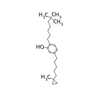 CC(C)(C)CCCCCc1ccc(CCCCCC2(C)CC2)cc1O